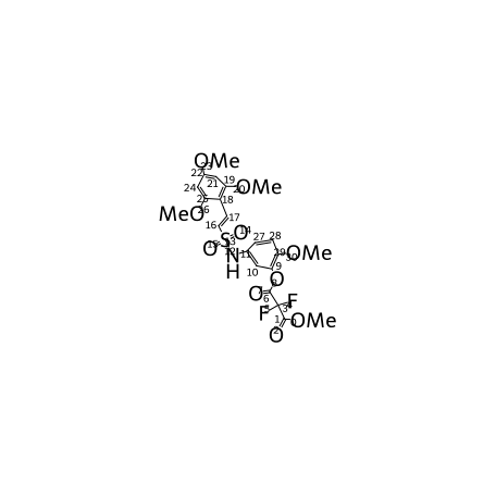 COC(=O)C(F)(F)C(=O)Oc1cc(NS(=O)(=O)C=Cc2c(OC)cc(OC)cc2OC)ccc1OC